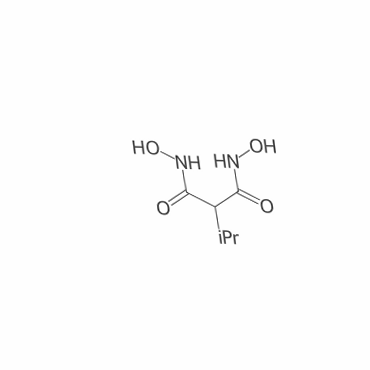 CC(C)C(C(=O)NO)C(=O)NO